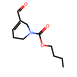 CCCCOC(=O)N1CCC=C(C=O)C1